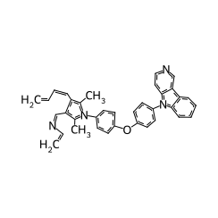 C=C/C=C\c1c(/C=N\C=C)c(C)n(-c2ccc(Oc3ccc(-n4c5ccccc5c5cnccc54)cc3)cc2)c1C